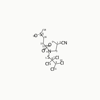 CC(C#N)CN(SC(Cl)(Cl)C(Cl)Cl)S(=O)(=O)CC[S+](C)[O-]